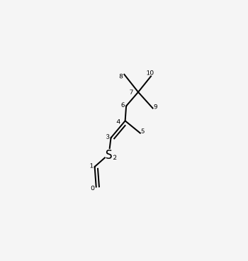 C=CS/C=C(\C)CC(C)(C)C